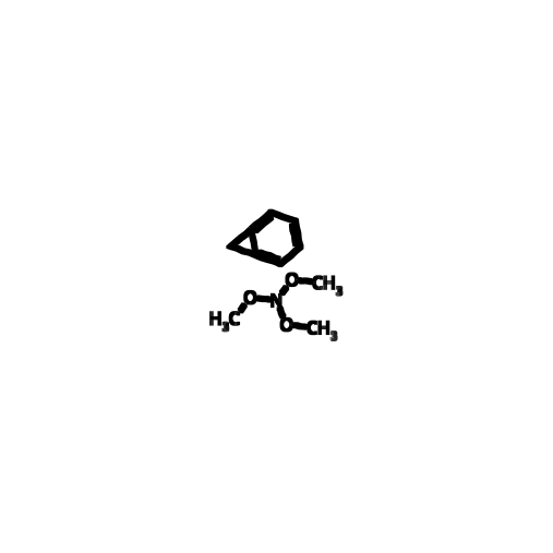 CON(OC)OC.c1ccc2c(c1)C2